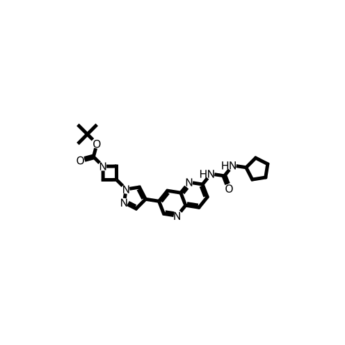 CC(C)(C)OC(=O)N1CC(n2cc(-c3cnc4ccc(NC(=O)NC5CCCC5)nc4c3)cn2)C1